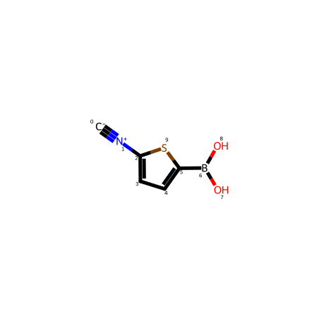 [C-]#[N+]c1ccc(B(O)O)s1